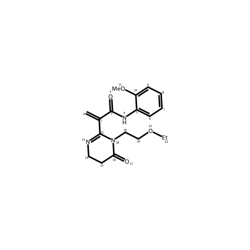 C=C(C(=O)Nc1ccccc1OC)C1=NCCC(=O)N1CCOCC